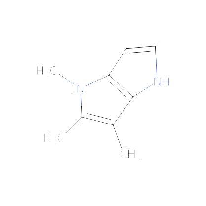 Cc1c(C)n(C)c2cc[nH]c12